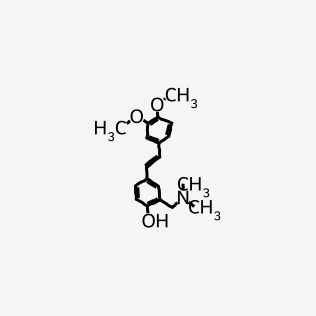 COc1ccc(/C=C/c2ccc(O)c(CN(C)C)c2)cc1OC